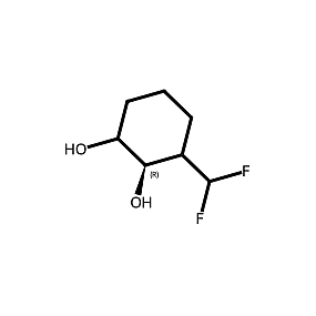 OC1CCCC(C(F)F)[C@H]1O